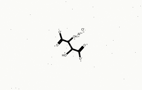 O=C([O-])C(O)C(O)C(=O)[O-].[Al+3].[Cl-]